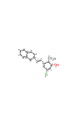 O=C(O)c1c(O)cc(Cl)cc1/C=C/c1ccc2ccccc2c1